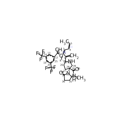 C=C(/C=C\C=C/C)[C@]1(CO[C@H](C)c2cc(C(F)(F)F)cc(C(F)(F)F)c2)CCC(C(=O)NC)(N2CCCC2=O)CN1